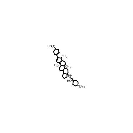 CSN1CCC(O)(CCNC23CCCC2C2CCC4C5(C)CC=C(C6=CCC(C(=O)O)CC6)C(C)C5CCC4(C)C2CC3)CC1